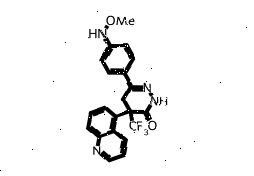 CONc1ccc(C2=NNC(=O)C(c3cccc4ncccc34)(C(F)(F)F)C2)cc1